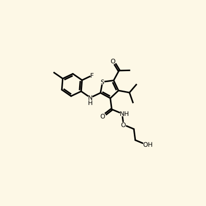 CC(=O)c1sc(Nc2ccc(C)cc2F)c(C(=O)NOCCO)c1C(C)C